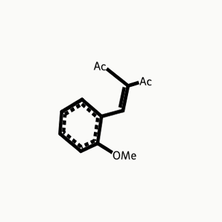 COc1ccccc1C=C(C(C)=O)C(C)=O